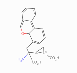 NC(CC1=CC=CC2=c3ccccc3=COC12)(C(=O)O)[C@H]1C[C@@H]1C(=O)O